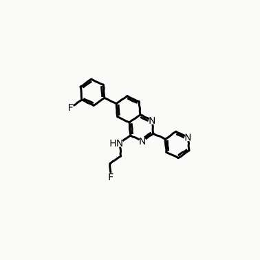 FCCNc1nc(-c2cccnc2)nc2ccc(-c3cccc(F)c3)cc12